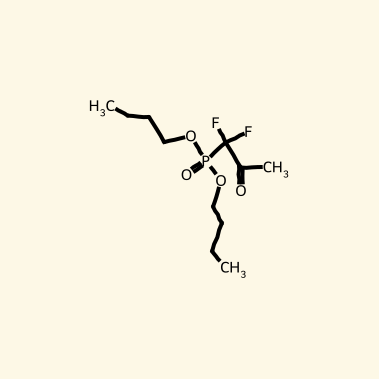 CCCCOP(=O)(OCCCC)C(F)(F)C(C)=O